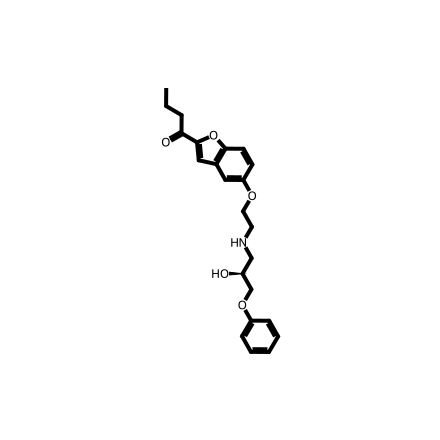 CCCC(=O)c1cc2cc(OCCNC[C@H](O)COc3ccccc3)ccc2o1